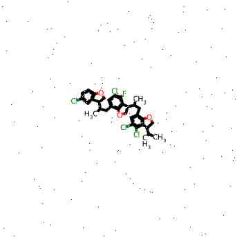 CC(C)C1COc2c(CC(C)C3COc4c(CC(C)C5COc6ccc(Cl)cc65)cc(Cl)c(F)c43)cc(Cl)c(Cl)c21